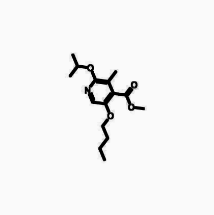 CCCCOc1cnc(OC(C)C)c(C)c1C(=O)OC